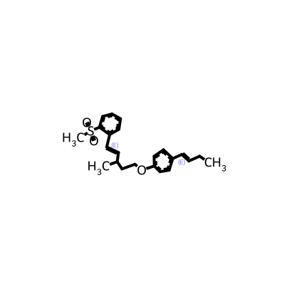 CC/C=C/c1ccc(OCCC(C)/C=C/c2ccccc2S(C)(=O)=O)cc1